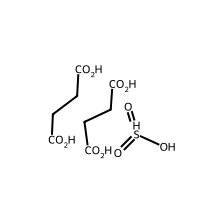 O=C(O)CCC(=O)O.O=C(O)CCC(=O)O.O=[SH](=O)O